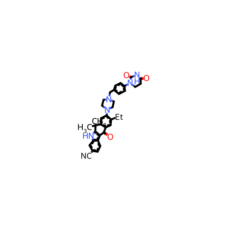 CCc1cc2c(cc1N1CCN(Cc3ccc(N4CCC(=O)NC4=O)cc3)CC1)C(C)(C)c1[nH]c3cc(C#N)ccc3c1C2=O